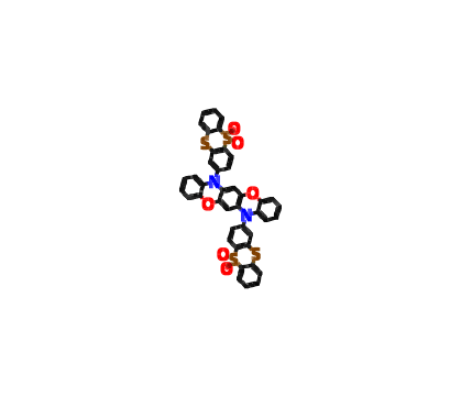 O=S1(=O)c2ccccc2Sc2cc(-n3c4ccccc4oc4cc5c(cc43)oc3ccccc3n5-c3ccc4c(c3)Sc3ccccc3S4(=O)=O)ccc21